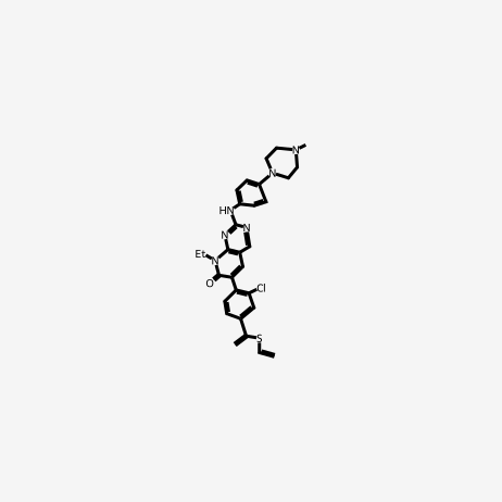 C=CSC(=C)c1ccc(-c2cc3cnc(Nc4ccc(N5CCN(C)CC5)cc4)nc3n(CC)c2=O)c(Cl)c1